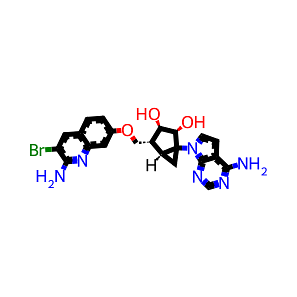 Nc1nc2cc(OC[C@@H]3[C@@H](O)[C@@H](O)C4(n5ccc6c(N)ncnc65)C[C@@H]34)ccc2cc1Br